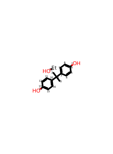 CC(C)(c1ccc(O)cc1)c1ccc(O)cc1.CCO